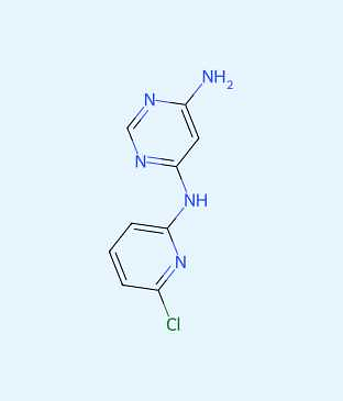 Nc1cc(Nc2cccc(Cl)n2)ncn1